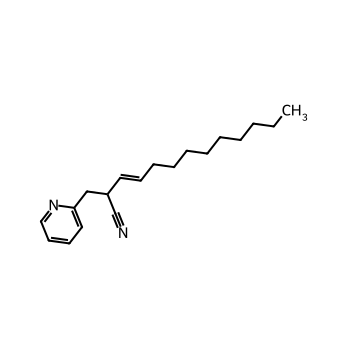 CCCCCCCCCC=CC(C#N)Cc1ccccn1